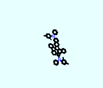 Cc1ccc(N(c2ccccc2)c2ccc3cc4c(cc3c2)C2(c3ccccc3-c3ccccc32)c2c-4c3ccccc3c3cc(N(c4ccccc4)c4ccc(C)cc4C)ccc23)c(C)c1